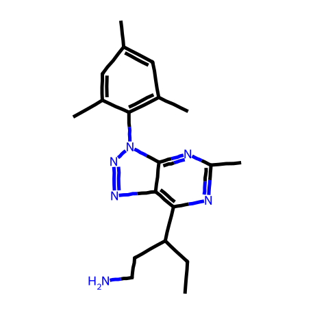 CCC(CCN)c1nc(C)nc2c1nnn2-c1c(C)cc(C)cc1C